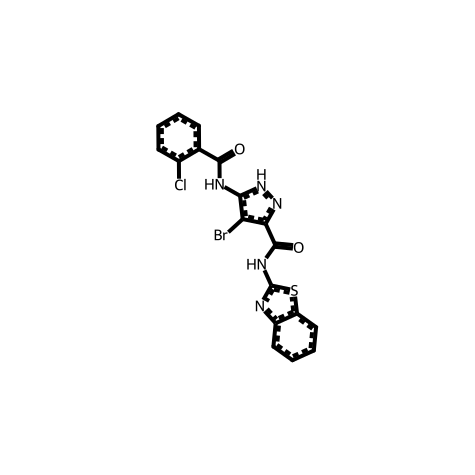 O=C(Nc1[nH]nc(C(=O)Nc2nc3ccccc3s2)c1Br)c1ccccc1Cl